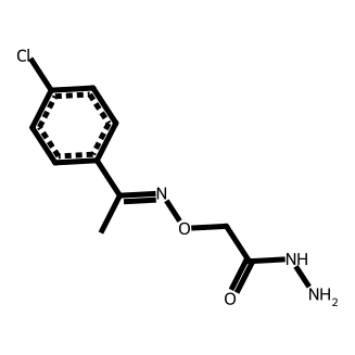 CC(=NOCC(=O)NN)c1ccc(Cl)cc1